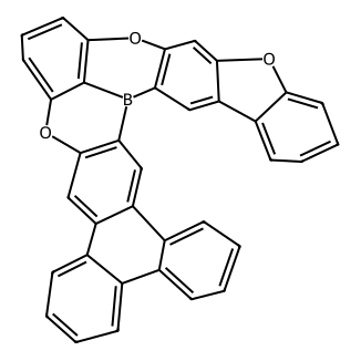 c1cc2c3c(c1)Oc1cc4c5ccccc5c5ccccc5c4cc1B3c1cc3c(cc1O2)oc1ccccc13